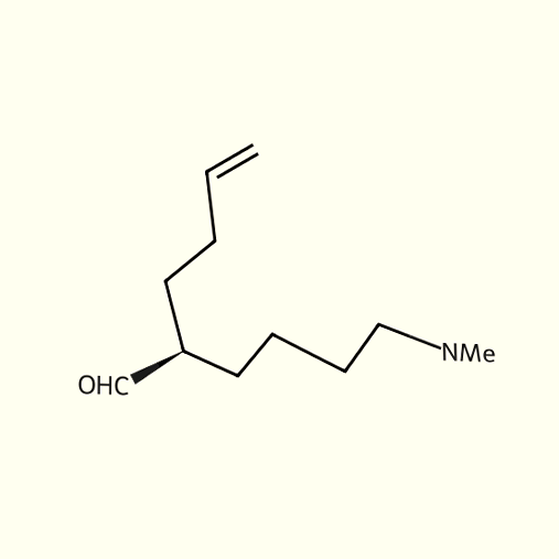 C=CCC[C@H](C=O)CCCCNC